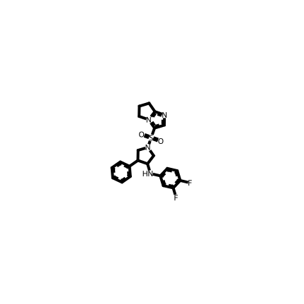 O=S(=O)(c1cnc2n1CCC2)N1CC(Nc2ccc(F)c(F)c2)C(c2ccccc2)C1